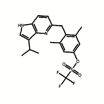 Cc1cc(OS(=O)(=O)C(F)(F)F)cc(C)c1Cc1ccc2[nH]cc(C(C)C)c2n1